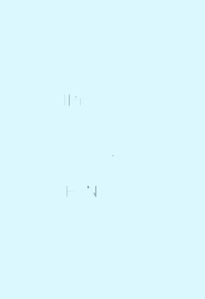 Br.CC(C)(C)N